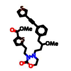 COC(=O)c1ccc(CCN2C(=O)OCCN2CCC(Cc2cccc(C#Cc3ccsc3)c2)OC)s1